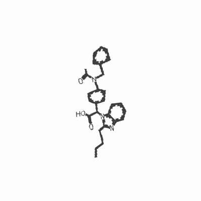 CCCCc1nc2ccccc2n1C(C(=O)O)c1ccc(N(Cc2ccccc2)C(C)=O)cc1